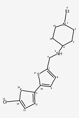 CCN1CCC(NCc2ccc(-c3ccc(Cl)s3)s2)CC1